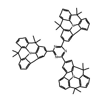 CC1(C)c2cccc3c2-n2c4c1cccc4c1cc(-c4nc(-c5cc6c7c(c5)c5cccc8c5n7-c5c(cccc5C6(C)C)C8(C)C)nc(-c5cc6c7c(c5)c5cccc8c5n7-c5c(cccc5C6(C)C)C8(C)C)n4)cc(c12)C3(C)C